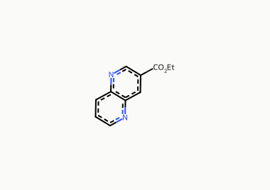 CCOC(=O)c1cnc2cccnc2c1